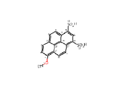 CCOc1ccc2ccc3c(S(=O)(=O)O)cc(S(=O)(=O)O)c4ccc1c2c34